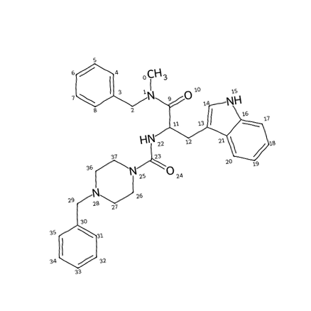 CN(Cc1ccccc1)C(=O)C(Cc1c[nH]c2ccccc12)NC(=O)N1CCN(Cc2ccccc2)CC1